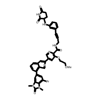 COCCOc1cc(-c2cc3cccc(-c4cc(C(C)C)c5c(c4)n(C)c(=O)n5C)c3cn2)cnc1C(=O)NCC#Cc1cccc(NC2CCC(=O)NC2=O)c1